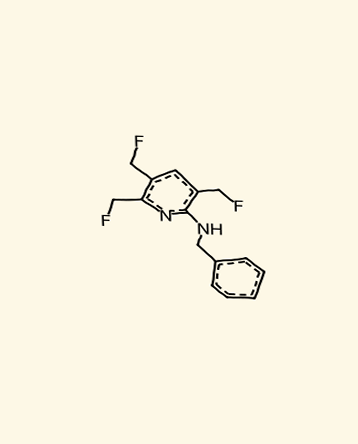 FCc1cc(CF)c(NCc2ccccc2)nc1CF